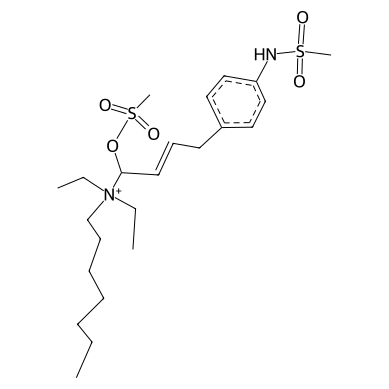 CCCCCCC[N+](CC)(CC)C(C=CCc1ccc(NS(C)(=O)=O)cc1)OS(C)(=O)=O